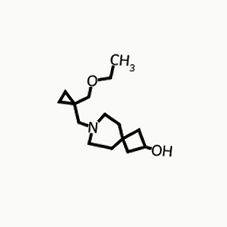 CCOCC1(CN2CCC3(CC2)CC(O)C3)CC1